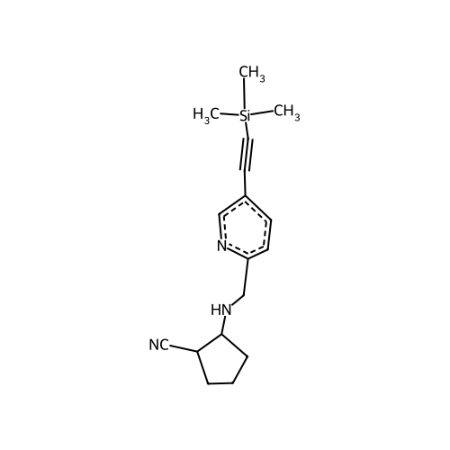 C[Si](C)(C)C#Cc1ccc(CNC2CCCC2C#N)nc1